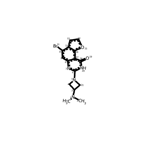 CN(C)C1CN(c2nc3cc(Br)c4ccoc4c3c(=O)[nH]2)C1